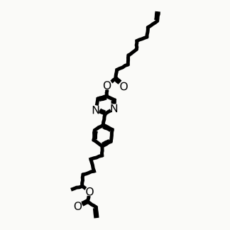 C=CCCCCCCCC(=O)Oc1cnc(-c2ccc(CCCCC(C)OC(=O)C=C)cc2)nc1